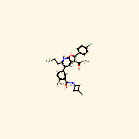 CNC(=O)c1c(-c2ccc(F)cc2)oc2nc(CCC(F)(F)F)c(-c3ccc(OC)c(C(=O)NC4CC(C)C4)c3)cc12